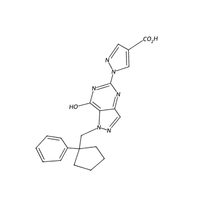 O=C(O)c1cnn(-c2nc(O)c3c(cnn3CC3(c4ccccc4)CCCC3)n2)c1